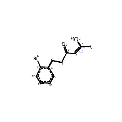 C/C(O)=C/C(=O)CCc1ccccc1Br